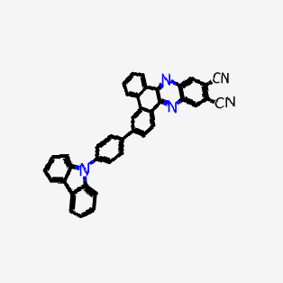 N#Cc1cc2nc3c4ccccc4c4cc(-c5ccc(-n6c7ccccc7c7ccccc76)cc5)ccc4c3nc2cc1C#N